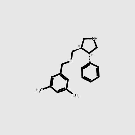 Cc1cc(C)cc(COC[C@H]2CNC[C@@H]2c2ccccc2)c1